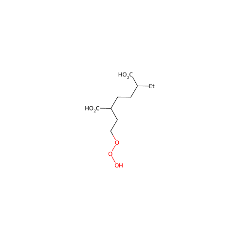 CCC(CCC(CCOOO)C(=O)O)C(=O)O